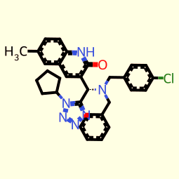 Cc1ccc2[nH]c(=O)c([C@@H](c3nnnn3C3CCCC3)N(Cc3ccccc3)Cc3ccc(Cl)cc3)cc2c1